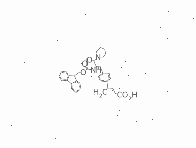 C=C(CCC(=O)O)c1ccc(C[C@@H](NC(=O)OCC2c3ccccc3-c3ccccc32)C(=O)N2CCCCC2)cc1